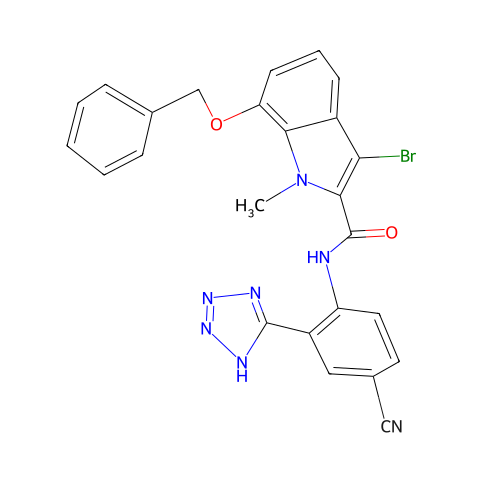 Cn1c(C(=O)Nc2ccc(C#N)cc2-c2nnn[nH]2)c(Br)c2cccc(OCc3ccccc3)c21